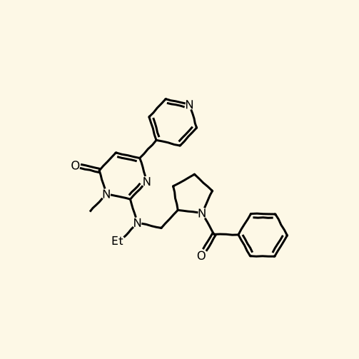 CCN(CC1CCCN1C(=O)c1ccccc1)c1nc(-c2ccncc2)cc(=O)n1C